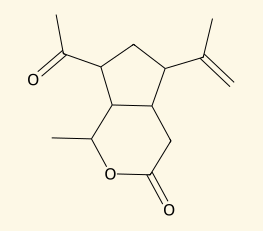 C=C(C)C1CC(C(C)=O)C2C(C)OC(=O)CC12